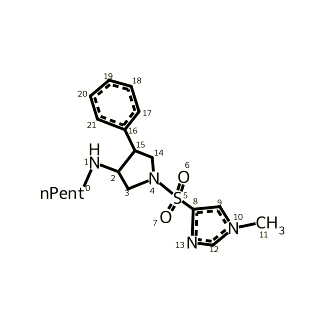 CCCCCNC1CN(S(=O)(=O)c2cn(C)cn2)CC1c1ccccc1